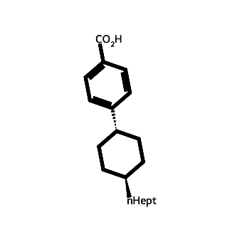 CCCCCCC[C@H]1CC[C@H](c2ccc(C(=O)O)cc2)CC1